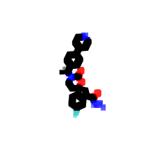 C[C@@H](c1ccc(-c2ccncc2)cc1)N1CC[C@@](CCC(N)=O)(c2ccc(F)cc2)OC1=O